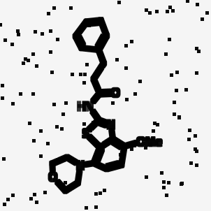 COc1ccc(N2CCOCC2)c2sc(NC(=O)CCc3ccccc3)nc12